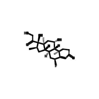 C[C@@H]1C[C@H]2[C@@H]3C[C@H](F)C4=CC(=O)CC[C@]4(C)[C@H]3[C@@H](O)C[C@]2(C)[C@@]1(O)C(=O)CO